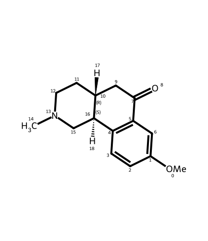 COc1ccc2c(c1)C(=O)C[C@H]1CCN(C)C[C@H]21